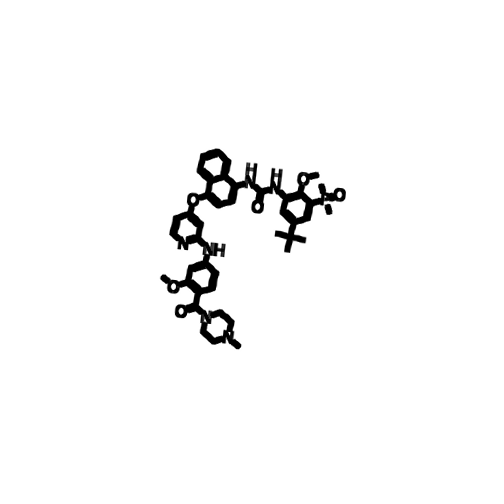 COc1cc(Nc2cc(Oc3ccc(NC(=O)Nc4cc(C(C)(C)C)cc(P(C)(C)=O)c4OC)c4ccccc34)ccn2)ccc1C(=O)N1CCN(C)CC1